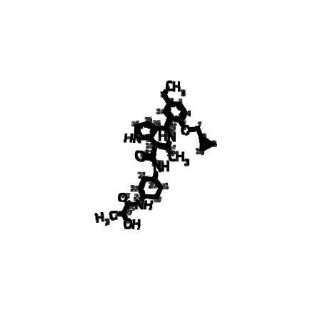 CCc1ccc(OCC2CC2)c(C2NC(C)=C(C(=O)NC3CCC(NC(=O)[C@H](C)O)CC3)c3[nH]ccc32)c1